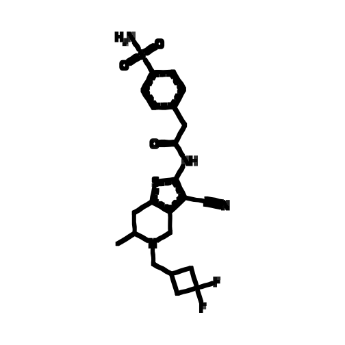 CC1Cc2sc(NC(=O)Cc3ccc(S(N)(=O)=O)cc3)c(C#N)c2CN1CC1CC(F)(F)C1